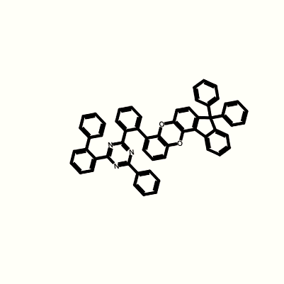 c1ccc(-c2nc(-c3ccccc3-c3ccccc3)nc(-c3ccccc3-c3cccc4c3Oc3ccc5c(c3O4)-c3ccccc3C5(c3ccccc3)c3ccccc3)n2)cc1